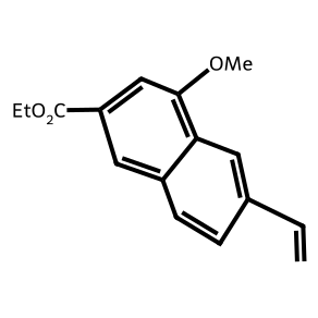 C=Cc1ccc2cc(C(=O)OCC)cc(OC)c2c1